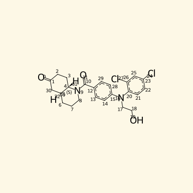 O=C1CC[C@H]2[C@@H](CCCN2C(=O)c2ccc(N(CCO)c3ccc(Cl)cc3Cl)cc2)C1